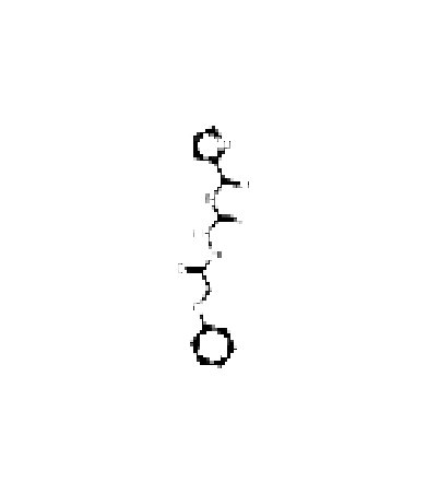 O=C(COc1ccccc1)NNC(=S)NC(=O)c1ccco1